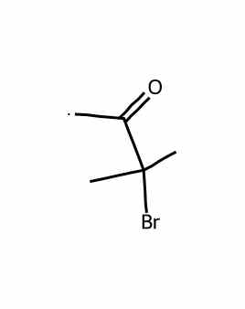 [CH2]C(=O)C(C)(C)Br